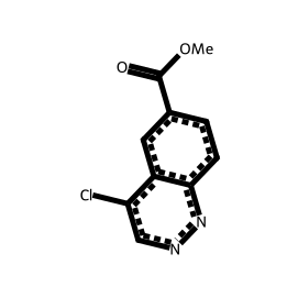 COC(=O)c1ccc2nncc(Cl)c2c1